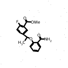 COC(=O)c1cc(C(C)Oc2ccccc2C(N)=O)ccc1F